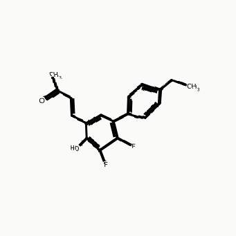 CCc1ccc(-c2cc(C=CC(C)=O)c(O)c(F)c2F)cc1